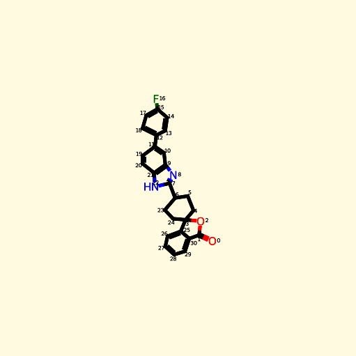 O=C1OC2(CCC(c3nc4cc(-c5ccc(F)cc5)ccc4[nH]3)CC2)c2ccccc21